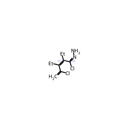 C=C(Cl)/C(CC)=C(CC)\C(Cl)=N/N